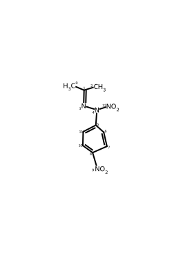 CC(C)=NN(c1ccc([N+](=O)[O-])cc1)[N+](=O)[O-]